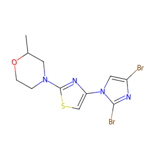 CC1CN(c2nc(-n3cc(Br)nc3Br)cs2)CCO1